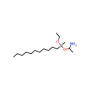 CCCCCCCCCCC[Si](C)(OCC)OC(C)N